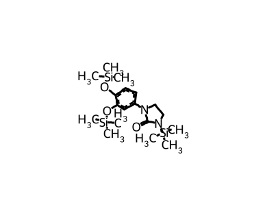 C[Si](C)(C)Oc1ccc(N2CCN([Si](C)(C)C)C2=O)cc1O[Si](C)(C)C